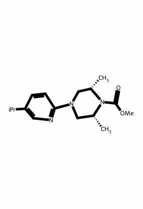 COC(=O)N1[C@H](C)CN(c2ccc(C(C)C)cn2)C[C@@H]1C